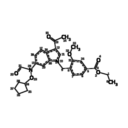 CCOC(=O)c1ccc(Cn2cc(C(C)=O)c3ccc(N(C=O)OC4CCCC4)cc32)c(OC)c1